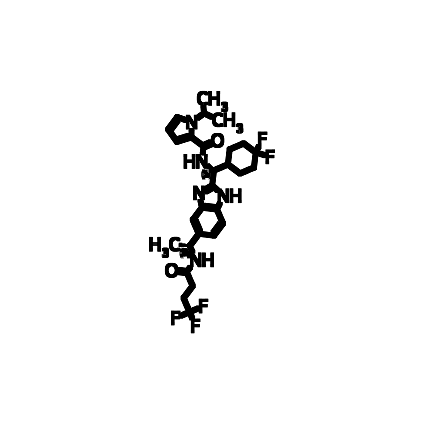 CC(C)n1cccc1C(=O)N[C@H](c1nc2cc([C@@H](C)NC(=O)CCC(F)(F)F)ccc2[nH]1)C1CCC(F)(F)CC1